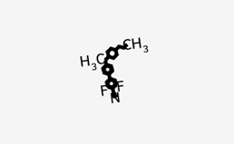 CCCC1CCC(C(C)c2ccc(-c3cc(F)c(C#N)c(F)c3)cc2)CC1